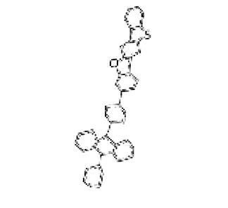 c1ccc(-c2c3ccccc3c(-c3ccc(-c4ccc5c(c4)oc4cc6c(cc45)sc4ccccc46)cc3)c3ccccc23)cc1